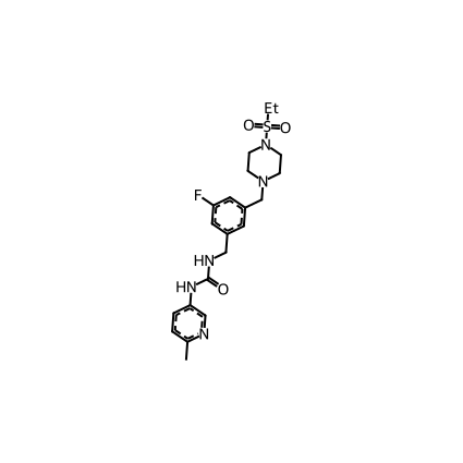 CCS(=O)(=O)N1CCN(Cc2cc(F)cc(CNC(=O)Nc3ccc(C)nc3)c2)CC1